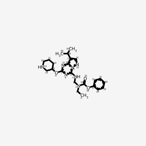 CCN(CNc1nc(OC2CCCNC2)nc2c(C(C)C)cnn12)C(=O)Oc1ccccc1